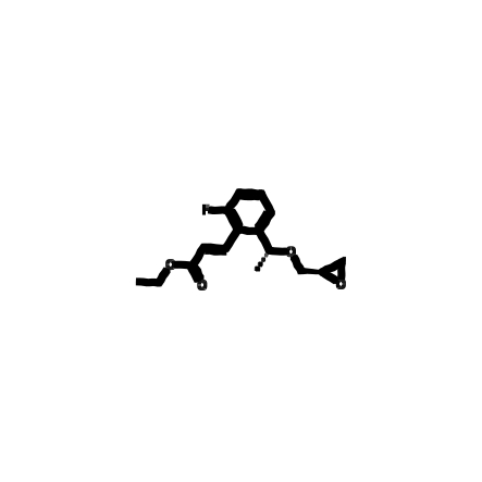 CCOC(=O)/C=C/c1c(F)cccc1[C@@H](C)OC[C@H]1CO1